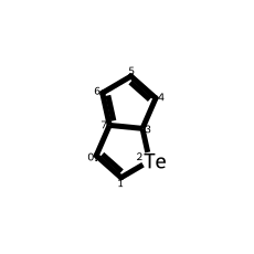 [C]1=C[Te]C2C=CC=C12